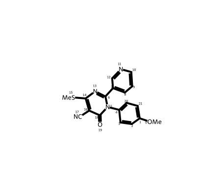 COc1ccc(-n2c(-c3cccnc3)nc(SC)c(C#N)c2=O)cc1